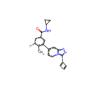 Cc1c(F)cc(C(=O)NC2CC2)cc1-c1ccn2c(C3=CC=C3)nnc2c1